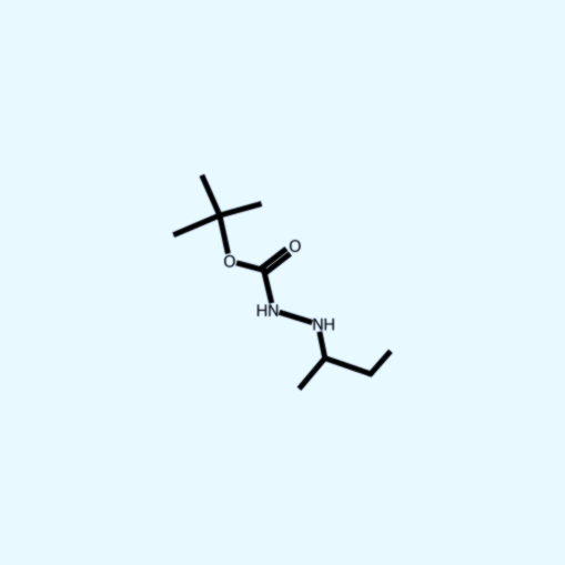 CCC(C)NNC(=O)OC(C)(C)C